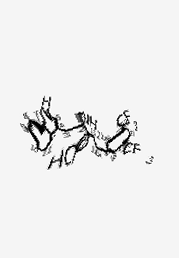 Cl.NC(Cc1c[nH]c2ccccc12)C(=O)CCc1cc(C(F)(F)F)cc(C(F)(F)F)c1